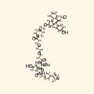 Cc1ncsc1-c1ccc(CNC(=O)[C@@H]2C[C@@H](O)CN2C(=O)C(NC(=O)CCOCCOCCC(=O)N2CCN(CCOc3ccc(C(=C(CCCl)c4ccccc4)c4ccc(O)cc4)cc3)CC2)C(C)(C)C)cc1